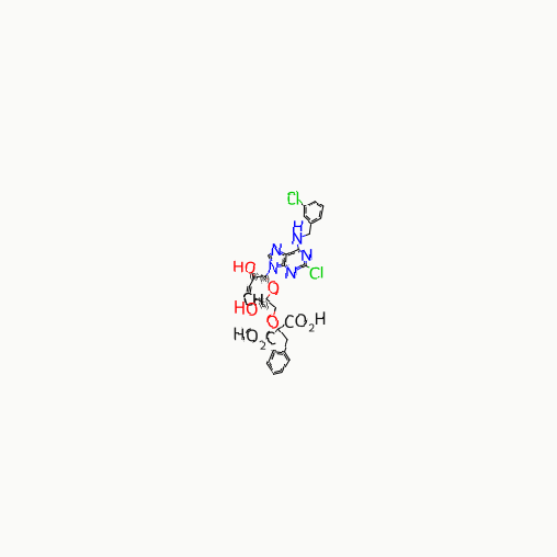 C#C[C@@H](O)[C@@H](O[C@@H](CO)COC(Cc1ccccc1)(C(=O)O)C(=O)O)n1cnc2c(NCc3cccc(Cl)c3)nc(Cl)nc21